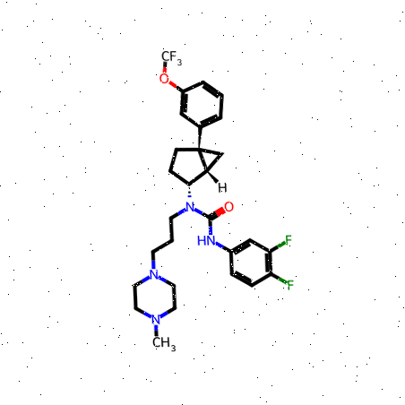 CN1CCN(CCCN(C(=O)Nc2ccc(F)c(F)c2)[C@@H]2CC[C@]3(c4cccc(OC(F)(F)F)c4)C[C@H]23)CC1